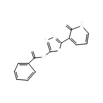 O=C(Nc1nnc(-c2ccc[nH]c2=S)s1)c1ccccc1